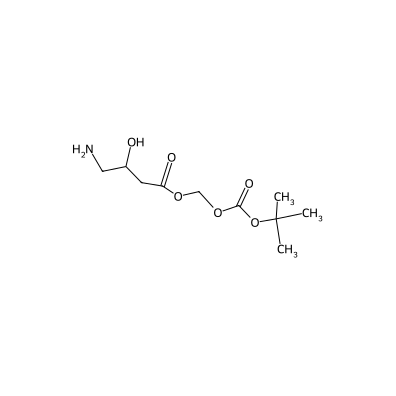 CC(C)(C)OC(=O)OCOC(=O)CC(O)CN